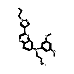 CCCn1cc(-c2cnc3ccc(N(CCN)c4cc(OC)cc(OC)c4)cc3n2)cn1